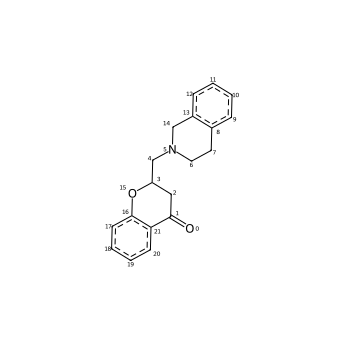 O=C1CC(CN2CCc3ccccc3C2)Oc2ccccc21